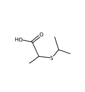 CC(C)SC(C)C(=O)O